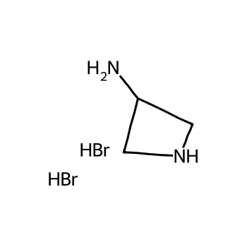 Br.Br.NC1CNC1